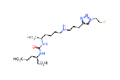 O=C(O)CCC(NC(=O)NC(CCCCNCCCc1cn(CCF)nn1)C(=O)O)C(=O)O